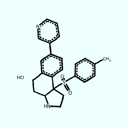 Cc1ccc(S(=O)(=O)C23CCNC2CCc2cc(-c4cccnc4)ccc23)cc1.Cl